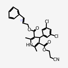 CC1=C(C(=O)OC/C=C/c2ccccc2)C(c2cc(Cl)cc(Cl)c2)C(C(=O)OCCC#N)=C(C)N1